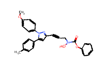 COc1ccc(-n2nc(C#CCN(O)C(=O)Oc3ccccc3)cc2-c2ccc(C)cc2)cc1